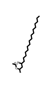 [CH2]C(CC(N)CCCCCCCCCCCCCCCCC)OCC